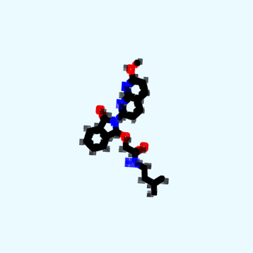 COc1ccc2ccc(N3C(=O)c4ccccc4C3OCC(=O)NCCC(C)C)nc2n1